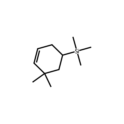 CC1(C)C=CCC([Si](C)(C)C)C1